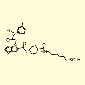 CCN(C(=O)Cn1c(C(=O)N[C@H]2CC[C@H](C(=O)NCCCCCCS(=O)(=O)O)CC2)cc2sccc21)c1cccc(C)c1